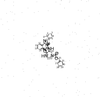 Cc1ccccc1-c1nc2c3ccccc3nc(NC3CN(C(=O)OCc4ccccc4)CCNC3=O)n2n1